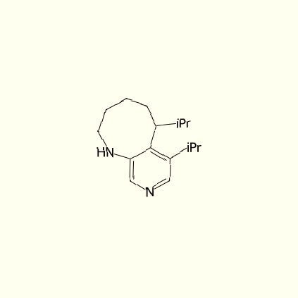 CC(C)c1cncc2c1C(C(C)C)CCCCN2